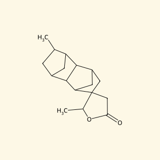 CC1CC2CC1C1C3CC(C21)C1(CC(=O)OC1C)C3